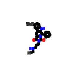 COc1ccc2[nH]c3c(c2c1)C[C@@]1(C)C(=O)N(CCCNCC(C)C)C(=O)N1[C@@H]3c1ccccc1